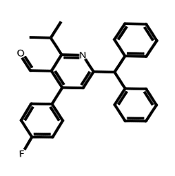 CC(C)c1nc(C(c2ccccc2)c2ccccc2)cc(-c2ccc(F)cc2)c1C=O